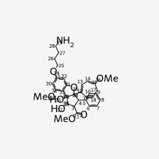 COC(=O)C1C(C2C=CC=CC2)[C@@]2(C3=CC=C(OC)CC#C3)Oc3cc(OCCCCN)cc(OC)c3[C@@]2(O)[C@H]1O